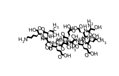 CC(C)C[C@H](NC(=O)[C@H](CO)NC(=O)[C@H](CCC(=O)O)NC(=O)[C@@H](NC(=O)[C@H](CCC(=O)O)NC(=O)[C@H](C)NC(=O)[C@H](CCC(=O)O)NC(=O)[C@H](CC(C)C)NC(=O)[C@H](CC(=O)O)NC(=O)[C@@H](N)CO)C(C)C)C(=O)N[C@@H](CCCCN)C(=O)O